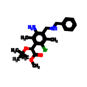 COC(=O)C(OC(C)(C)C)c1c(C)c(N)c(CNCc2ccccc2)c(C)c1Br